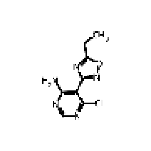 CCc1nc(-c2c(N)ncnc2Cl)no1